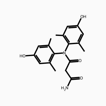 Cc1cc(O)cc(C)c1N(C(=O)CC(N)=O)c1c(C)cc(O)cc1C